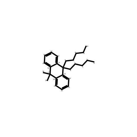 CCCCCC1(CCCCC)c2c[c]ccc2C(C)(C)c2c[c]ccc21